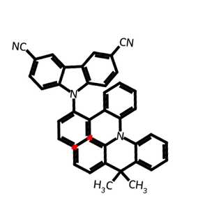 CC1(C)c2ccccc2N(c2ccccc2-c2ccccc2-n2c3ccc(C#N)cc3c3cc(C#N)ccc32)c2ccccc21